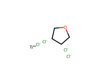 C1CCOC1.[Cl-].[Cl-].[Cl-].[Cl-].[Ti+4]